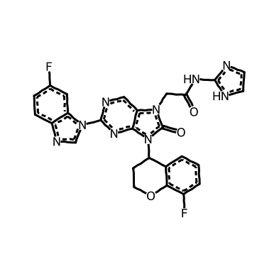 O=C(Cn1c(=O)n(C2CCOc3c(F)cccc32)c2nc(-n3cnc4ccc(F)cc43)ncc21)Nc1ncc[nH]1